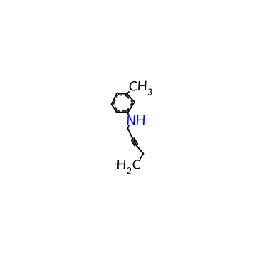 [CH2]CC#CCNc1cccc(C)c1